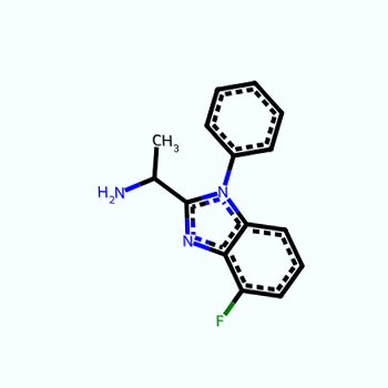 CC(N)c1nc2c(F)cccc2n1-c1ccccc1